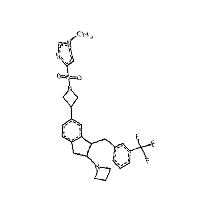 Cn1cnc(S(=O)(=O)N2CC(c3ccc4c(c3)C(Cc3cccc(C(F)(F)F)c3)C(N3CCC3)C4)C2)c1